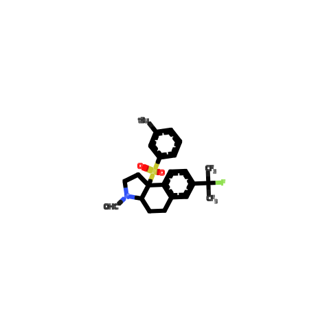 CC(C)(C)c1cccc(S(=O)(=O)C23CCN(C=O)C2CCc2cc(C(F)(C(F)(F)F)C(F)(F)F)ccc23)c1